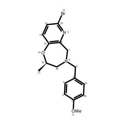 COc1ccc(CN2Cc3nc(Br)ccc3O[C@H](C)C2)cc1